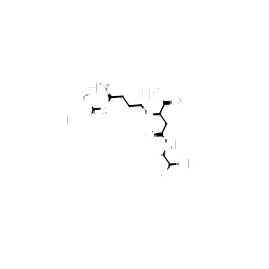 CC(C)CNC(=O)CC(SCCCC(=N)SC(C)C)C(=O)O